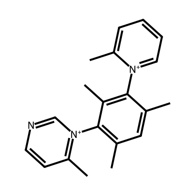 Cc1cc(C)c(-[n+]2cnccc2C)c(C)c1-[n+]1ccccc1C